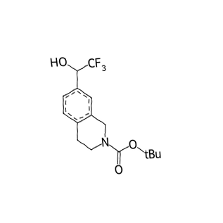 CC(C)(C)OC(=O)N1CCc2ccc(C(O)C(F)(F)F)cc2C1